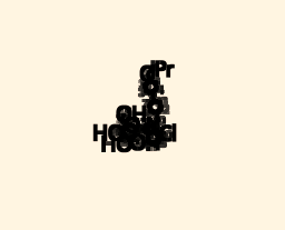 CC(C)Oc1ccc(-c2ccc(Cn3cc([C@@H]4O[C@H](CO)[C@@H](O)[C@H](O)[C@H]4O)c4cccc(Cl)c43)cc2)cc1